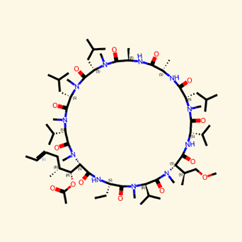 C/C=C/C[C@@H](C)[C@@H](OC(C)=O)[C@H]1C(=O)N[C@@H](CC)C(=O)N(C)[C@H](C(C)C)C(=O)N(C)[C@@H]([C@H](C)COC)C(=O)N[C@@H](C(C)C)C(=O)N(C)[C@@H](CC(C)C)C(=O)N[C@@H](C)C(=O)N[C@H](C)C(=O)N(C)[C@@H](CC(C)C)C(=O)N(C)[C@@H](CC(C)C)C(=O)N(C)[C@@H](C(C)C)C(=O)N1C